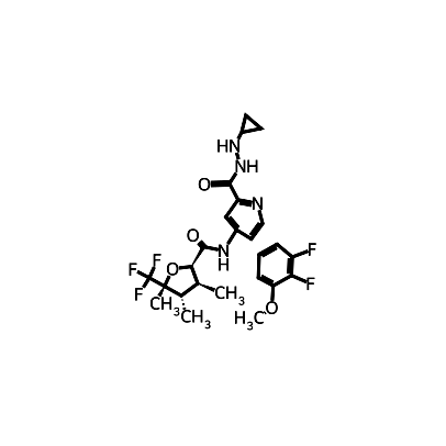 COc1cccc(F)c1F.C[C@@H]1[C@H](C(=O)Nc2ccnc(C(=O)NNC3CC3)c2)O[C@@](C)(C(F)(F)F)[C@H]1C